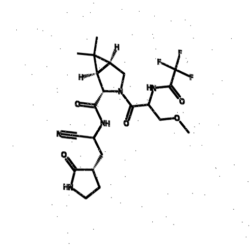 COCC(NC(=O)C(F)(F)F)C(=O)N1C[C@H]2[C@@H]([C@H]1C(=O)NC(C#N)C[C@@H]1CCNC1=O)C2(C)C